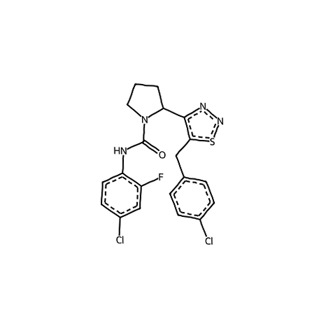 O=C(Nc1ccc(Cl)cc1F)N1CCCC1c1nnsc1Cc1ccc(Cl)cc1